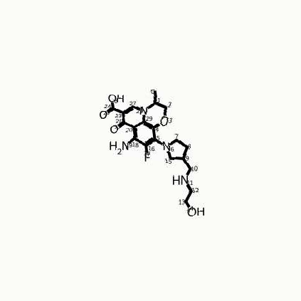 CC1COc2c(N3CCC(CNCCO)C3)c(F)c(N)c3c(=O)c(C(=O)O)cn1c23